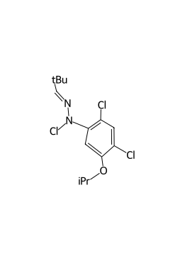 CC(C)Oc1cc(N(Cl)N=CC(C)(C)C)c(Cl)cc1Cl